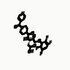 O=C(O)C[C@H](NC(=O)C1CCN(C(=O)c2ccncc2)CC1)C(=O)COc1c(F)c(F)cc(F)c1F